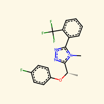 C[C@H](Oc1ccc(F)cc1)c1nnc(-c2ccccc2C(F)(F)F)n1C